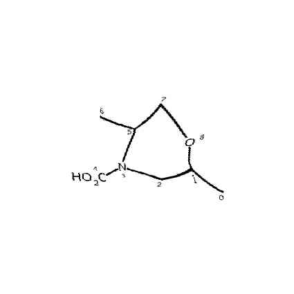 CC1CN(C(=O)O)C(C)CO1